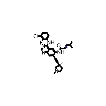 CC(C)/C=C/C(=O)Nc1cc2c(Nc3cccc(Cl)c3F)ncnc2cc1C#C[C@@]1(C)CCN(C)C1